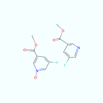 COC(=O)c1cc(F)c[n+]([O-])c1.COC(=O)c1cncc(F)c1